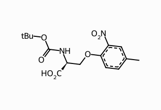 Cc1ccc(OC[C@H](NC(=O)OC(C)(C)C)C(=O)O)c([N+](=O)[O-])c1